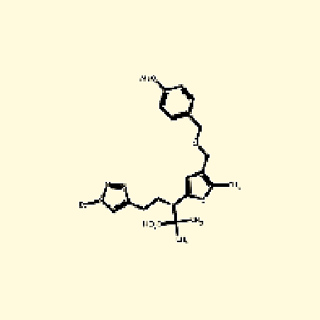 CCn1cc(CC[C@@H](c2cc(COCc3ccc(OC)cc3)c(C)s2)C(C)(C)C(=O)O)nn1